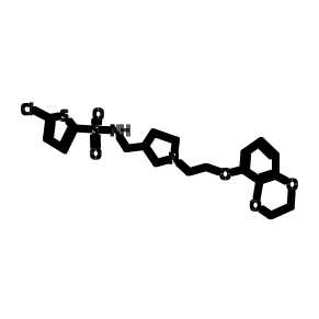 O=S(=O)(NCC1CCN(CCOc2cccc3c2OCCO3)C1)c1ccc(Cl)s1